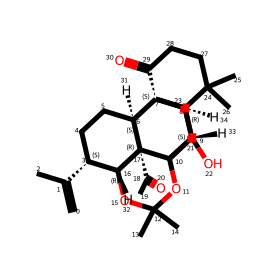 C=C(C)[C@@H]1CC[C@H]2[C@@]34COC5(OC(C)(C)O[C@H]1[C@@]25C(C)=O)[C@@H](O)[C@@H]3C(C)(C)CCC4=O